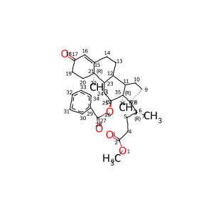 COC(=O)CC[C@@H](C)[C@H]1CCC2C3CCC4=CC(=O)CC[C@]4(C)C3C[C@H](OC(=O)c3ccccc3)[C@@]21C